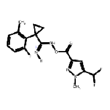 [H]/N=C(\NOC(=O)c1cc(C(F)F)n(C)n1)C1(c2c(C)cccc2F)CC1